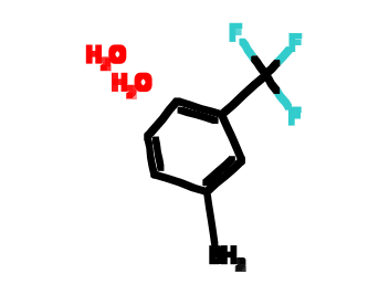 Bc1cccc(C(F)(F)F)c1.O.O